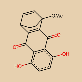 COC12C=CC(CC1)C1=C2C(=O)c2c(O)ccc(O)c2C1=O